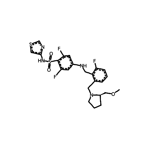 COC[C@H]1CCCN1Cc1cccc(F)c1CNc1cc(F)c(S(=O)(=O)Nc2cscn2)c(F)c1